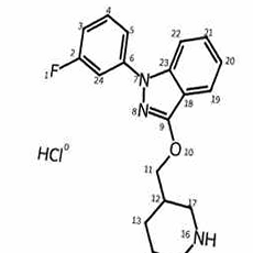 Cl.Fc1cccc(-n2nc(OCC3CCCNC3)c3ccccc32)c1